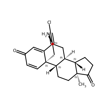 C[C@]12CC[C@H]3[C@@H](C[C@H](N)C4=CC(=O)C=C[C@@]43CC#CCl)[C@@H]1CCC2=O